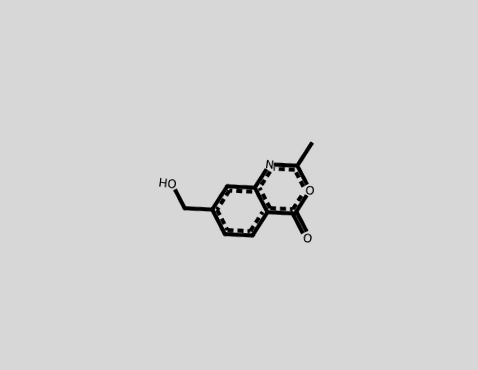 Cc1nc2cc(CO)ccc2c(=O)o1